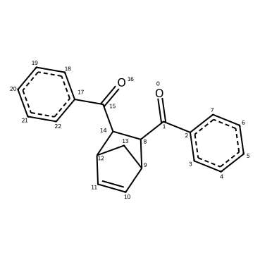 O=C(c1ccccc1)C1C2C=CC(C2)C1C(=O)c1ccccc1